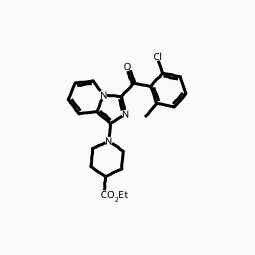 CCOC(=O)C1CCN(c2nc(C(=O)c3c(C)cccc3Cl)n3ccccc23)CC1